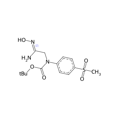 CC(C)(C)OC(=O)N(C/C(N)=N/O)c1ccc(S(C)(=O)=O)cc1